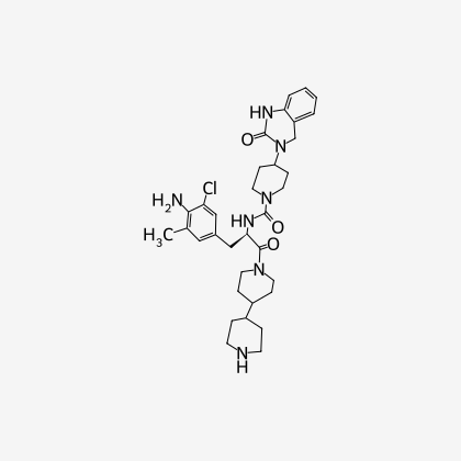 Cc1cc(C[C@@H](NC(=O)N2CCC(N3Cc4ccccc4NC3=O)CC2)C(=O)N2CCC(C3CCNCC3)CC2)cc(Cl)c1N